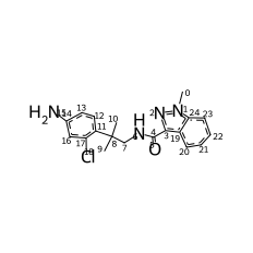 Cn1nc(C(=O)NCC(C)(C)c2ccc(N)cc2Cl)c2ccccc21